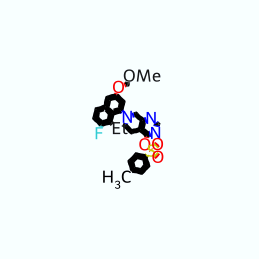 CCc1c(F)ccc2cc(OCOC)cc(N3CCc4c(ncnc4OS(=O)(=O)c4ccc(C)cc4)C3)c12